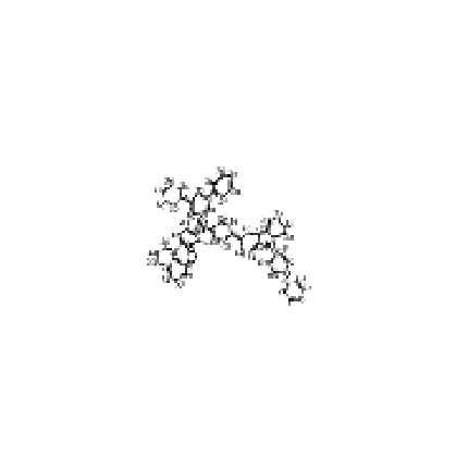 c1ccc(-c2ccc(-n3c4ccccc4c4cc(-c5ccc(N(c6cc(-c7ccccc7)cc(-c7ccccc7)c6)c6ccc7c(c6)Oc6cccc8cccc-7c68)cc5)ccc43)cc2)cc1